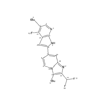 CC(C)(C)c1cnc2[nH]c(-c3ccn4c(C(C)(C)C)c(C(F)F)nc4c3)cc2c1F